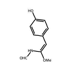 COC(=Cc1ccc(O)cc1)NC=O